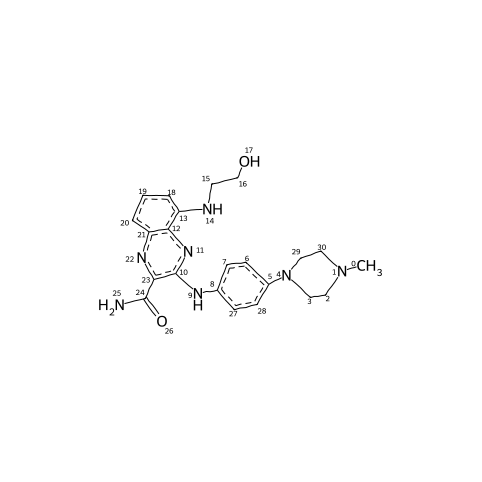 CN1CCN(c2ccc(Nc3nc4c(NCCO)cccc4nc3C(N)=O)cc2)CC1